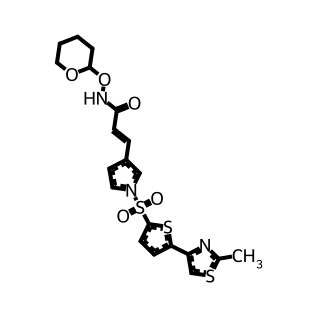 Cc1nc(-c2ccc(S(=O)(=O)n3ccc(/C=C/C(=O)NOC4CCCCO4)c3)s2)cs1